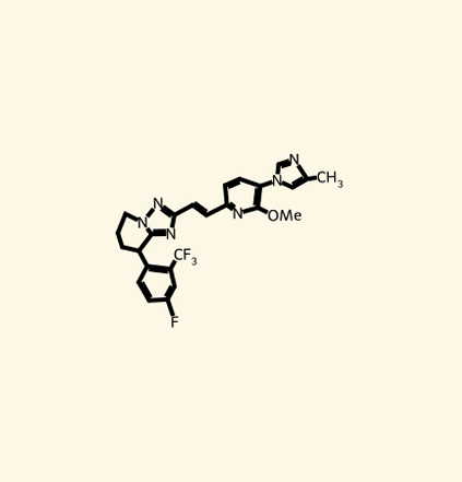 COc1nc(C=Cc2nc3n(n2)CCCC3c2ccc(F)cc2C(F)(F)F)ccc1-n1cnc(C)c1